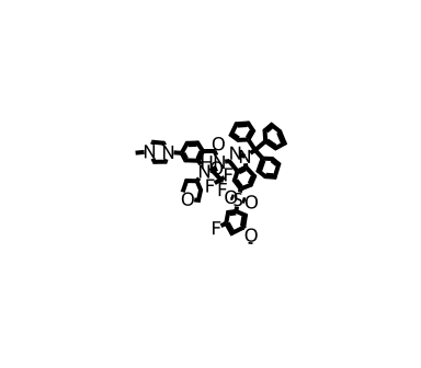 COc1cc(F)cc(S(=O)(=O)c2ccc3c(c2)c(NC(=O)c2ccc(N4CCN(C)CC4)cc2N(C(=O)C(F)(F)F)C2CCOCC2)nn3C(c2ccccc2)(c2ccccc2)c2ccccc2)c1